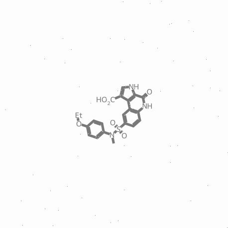 CCOc1ccc(N(C)S(=O)(=O)c2ccc3[nH]c(=O)c4[nH]cc(C(=O)O)c4c3c2)cc1